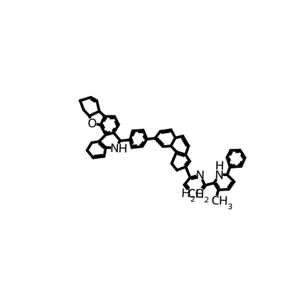 C=C/C(=N\C(=C)C1=C(C)C=CC(c2ccccc2)N1)C1=CC2=C(CC1)C1C=C(c3ccc(C4NC5=C(CCC=C5)c5c4ccc4c5OC5CCC=CC45)cc3)C=CC1C=C2